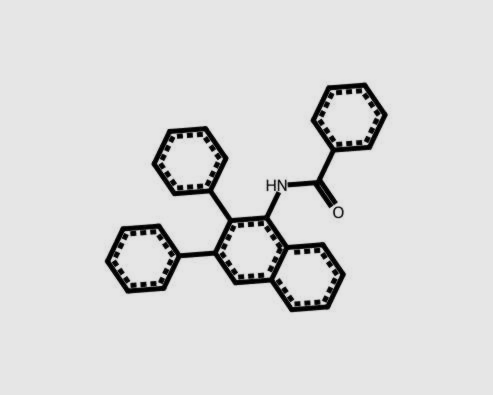 O=C(Nc1c(-c2ccccc2)c(-c2ccccc2)cc2ccccc12)c1ccccc1